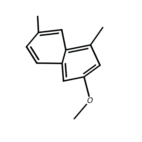 COc1cc(C)c2cc(C)ccc2c1